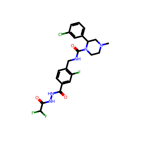 CN1CCN(C(=O)NCc2ccc(C(=O)NNC(=O)C(F)F)cc2F)C(c2cccc(Cl)c2)C1